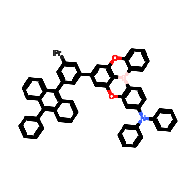 CC(C)c1cc(-c2cc3c4c(c2)Oc2cc(N(c5ccccc5)c5ccccc5)ccc2B4c2ccccc2O3)cc(-c2c3ccccc3c(-c3ccccc3)c3ccccc23)c1